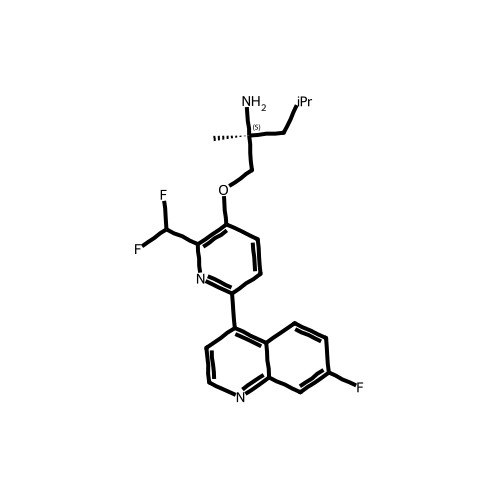 CC(C)C[C@](C)(N)COc1ccc(-c2ccnc3cc(F)ccc23)nc1C(F)F